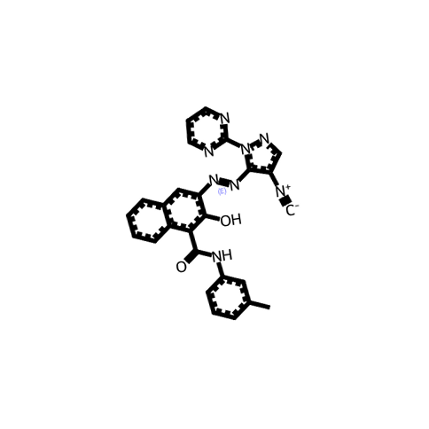 [C-]#[N+]c1cnn(-c2ncccn2)c1/N=N/c1cc2ccccc2c(C(=O)Nc2cccc(C)c2)c1O